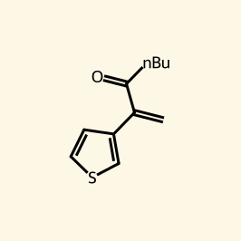 C=C(C(=O)CCCC)c1ccsc1